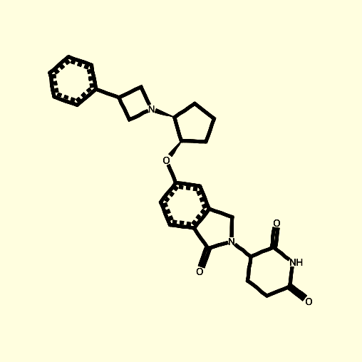 O=C1CCC(N2Cc3cc(O[C@@H]4CCC[C@@H]4N4CC(c5ccccc5)C4)ccc3C2=O)C(=O)N1